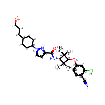 CC1(C)[C@H](NC(=O)c2ccn(C3CCC(CCCO)CC3)n2)C(C)(C)[C@H]1Oc1ccc(C#N)c(Cl)c1